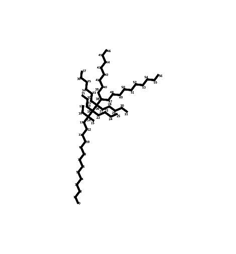 CCCCCCCCCCCCCCC(C)(CC)C(CCC)(CCCC)C(CCCCC)(CCCCCC)[C](CCCCCCCC)CCCCCCCCCC